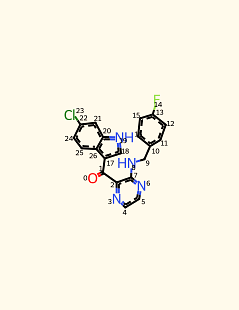 O=C(c1nccnc1NCc1ccc(F)cc1)c1c[nH]c2cc(Cl)ccc12